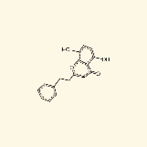 O=c1cc(CCc2ccccc2)oc2c(O)ccc(O)c12